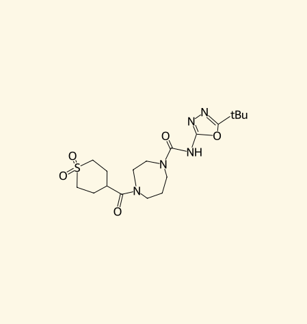 CC(C)(C)c1nnc(NC(=O)N2CCCN(C(=O)C3CCS(=O)(=O)CC3)CC2)o1